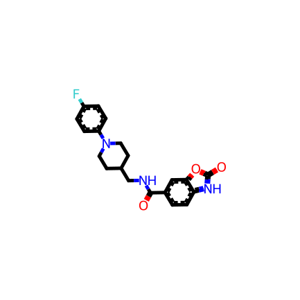 O=C(NCC1CCN(c2ccc(F)cc2)CC1)c1ccc2[nH]c(=O)oc2c1